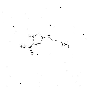 CCCOC1CN[C@H](C(=O)O)C1